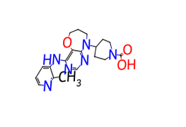 Cc1ncccc1Nc1ncnc2c1OCCCN2C1CCN(C(=O)O)CC1